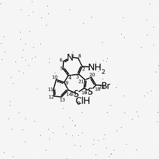 Cl.NC1=C2C(=CC=NC1)c1ccccc1Sc1sc(Br)cc12